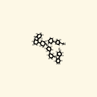 N#Cc1ccc(-c2cccc(N(c3ccc(-c4cccc(-n5c6ccccc6c6ccc(F)cc65)c4)cc3)c3ccc(-c4cccc5sc6ccccc6c45)cc3)c2)cc1